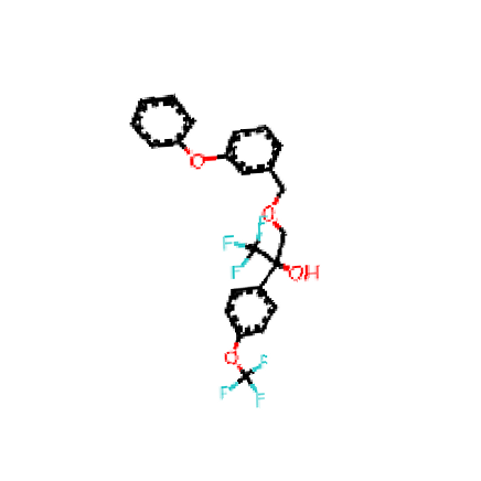 OC(COCc1cccc(Oc2ccccc2)c1)(c1ccc(OC(F)(F)F)cc1)C(F)(F)F